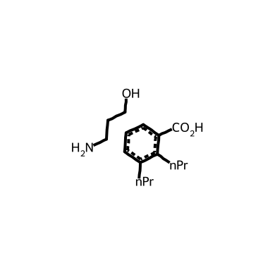 CCCc1cccc(C(=O)O)c1CCC.NCCCO